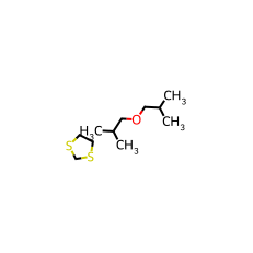 C1CSCS1.CC(C)COCC(C)C